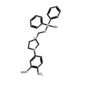 CNc1cc(N2CC[C@@H](CO[Si](c3ccccc3)(c3ccccc3)C(C)(C)C)C2)ccc1[N+](=O)[O-]